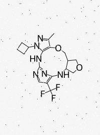 Cc1nn(C2CCC2)c2c1OCC1COCC1Nc1nc(ncc1C(F)(F)F)N2